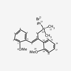 COc1ccccc1/C=C(\C[N+](C)(C)C(C)C)c1ccccc1OC.[Br-]